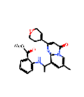 COC(=O)c1ccccc1NC(C)c1cc(C)cn2c(=O)cc(C3=CCOCC3)nc12